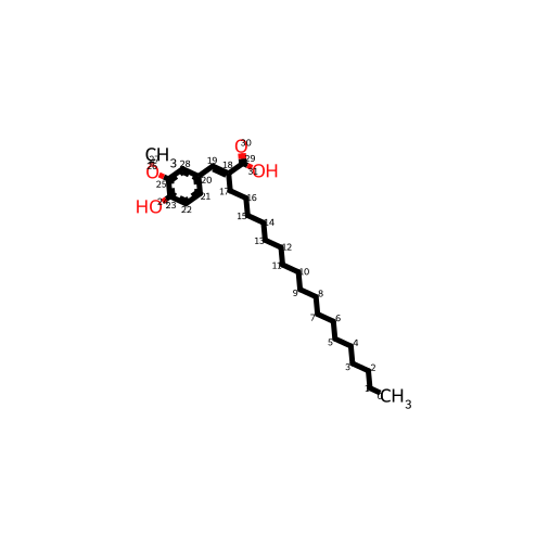 CCCCCCCCCCCCCCCCCC/C(=C\c1ccc(O)c(OC)c1)C(=O)O